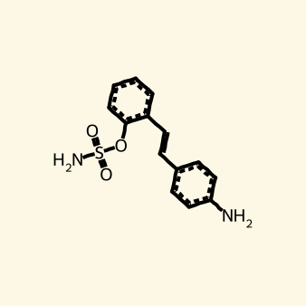 Nc1ccc(C=Cc2ccccc2OS(N)(=O)=O)cc1